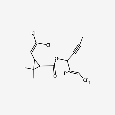 CC#CC(OC(=O)C1C(C=C(Cl)Cl)C1(C)C)C(F)=CC(F)(F)F